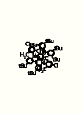 Cc1cc(Cl)cc(C)c1N1c2ccc(C(C)(C)C)cc2B2c3cc(C(C)(C)C)ccc3N(c3c(C)cc(Cl)cc3C)c3cc(N(c4cc(C(C)(C)C)cc(C(C)(C)C)c4)c4cc(C(C)(C)C)cc(C(C)(C)C)c4)cc1c32